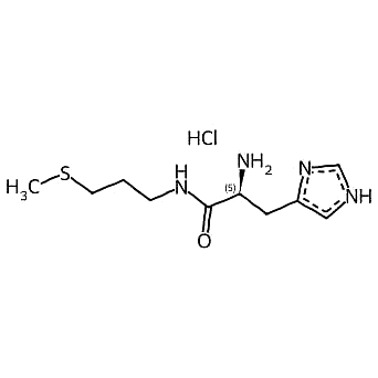 CSCCCNC(=O)[C@@H](N)Cc1c[nH]cn1.Cl